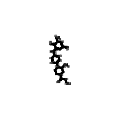 CC1CN(C(=O)OC(C)(C)C)CCN1c1cnc(Nc2cc(Br)cn(C)c2=O)cn1